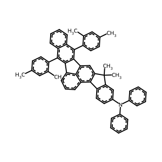 Cc1ccc(-c2c3c(c(-c4ccc(C)cc4C)c4ccccc24)-c2cc4c(c5cccc-3c25)-c2ccc(N(c3ccccc3)c3ccccc3)cc2C4(C)C)c(C)c1